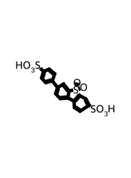 O=S(=O)(O)c1ccc(-c2ccc3c(c2)S(=O)(=O)c2cc(S(=O)(=O)O)ccc2-3)cc1